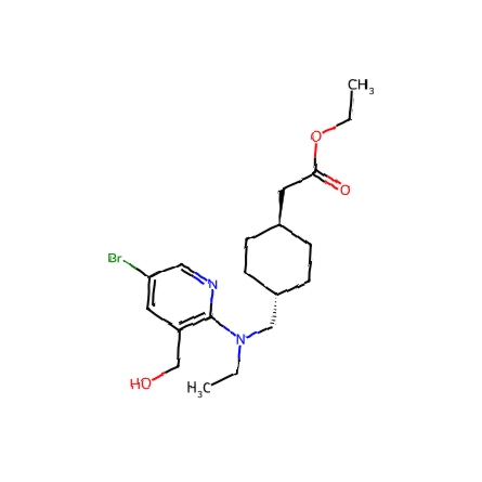 CCOC(=O)C[C@H]1CC[C@H](CN(CC)c2ncc(Br)cc2CO)CC1